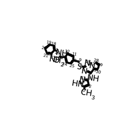 Cc1cc(Nc2nc(SCc3ccc(C(=O)Nc4ccccc4N)cc3)nn3cccc23)n[nH]1